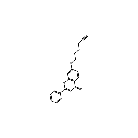 C#CCCCCOc1ccc2c(=O)cc(-c3ccccc3)oc2c1